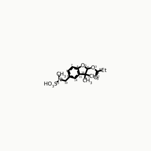 CCC(=O)OC1Oc2ccc(CN(C)S(=O)(=O)O)cc2C1(C)C